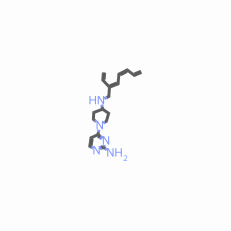 C=C/C=C\C=C(/C=C)CNC1CCN(c2ccnc(N)n2)CC1